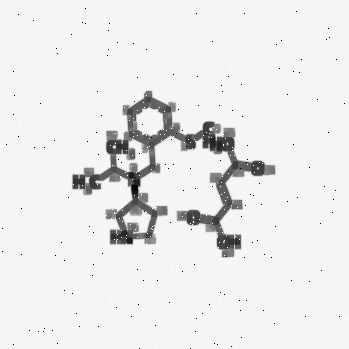 CSc1ccccc1CN(C(C)C)[C@H]1CCNC1.O=C(O)C=CC(=O)O